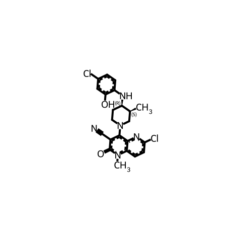 C[C@H]1CN(c2c(C#N)c(=O)n(C)c3ccc(Cl)nc23)CC[C@H]1Nc1ccc(Cl)cc1O